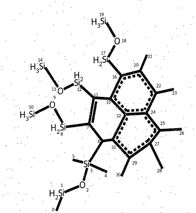 C[SiH2]O[Si](C)(C)C1C([SiH2]O[SiH3])=C([SiH2]O[SiH3])c2c([SiH2]O[SiH3])c(C)c(C)c3c(C)c(C)c(C)c1c23